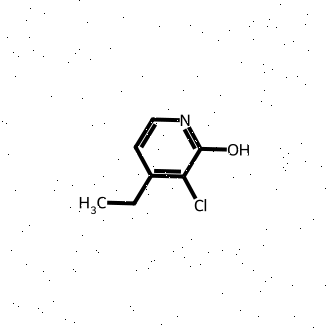 CCc1ccnc(O)c1Cl